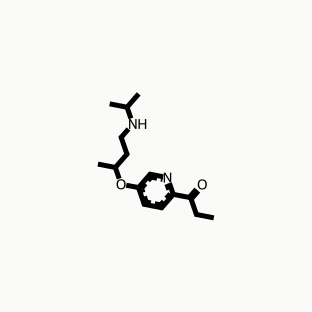 CCC(=O)c1ccc(OC(C)CCNC(C)C)cn1